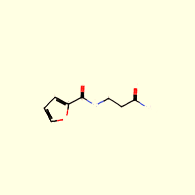 NC(=O)CCNC(=O)c1ccco1